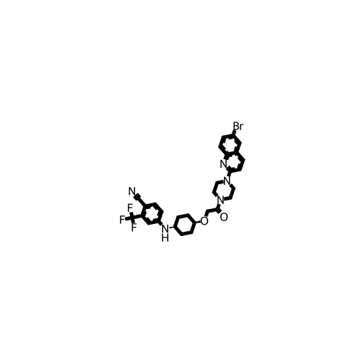 N#Cc1ccc(N[C@H]2CC[C@H](OCC(=O)N3CCN(c4ccc5cc(Br)ccc5n4)CC3)CC2)cc1C(F)(F)F